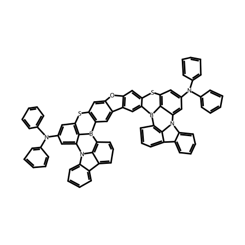 c1ccc(N(c2ccccc2)c2cc3c4c(c2)-n2c5ccccc5c5cccc(c52)B4c2cc4c(cc2S3)oc2cc3c(cc24)B2c4c(cc(N(c5ccccc5)c5ccccc5)cc4-n4c5ccccc5c5cccc2c54)S3)cc1